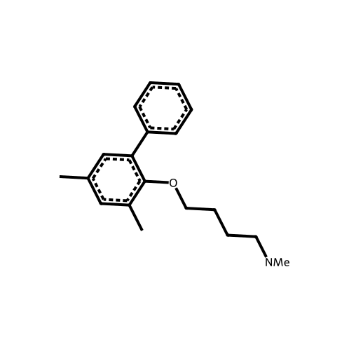 CNCCCCOc1c(C)cc(C)cc1-c1ccccc1